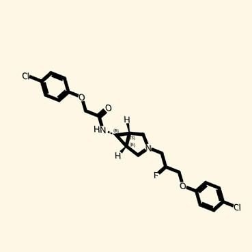 O=C(COc1ccc(Cl)cc1)N[C@@H]1[C@@H]2CN(CC(F)COc3ccc(Cl)cc3)C[C@@H]21